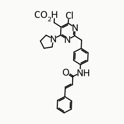 O=C(O)Cc1c(Cl)nc(Cc2ccc(NC(=O)C=Cc3ccccc3)cc2)nc1N1CCCC1